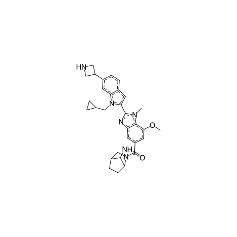 COc1cc(C(=O)N2CC3CCC2C3N)cc2nc(-c3cc4ccc(C5CNC5)cc4n3CC3CC3)n(C)c12